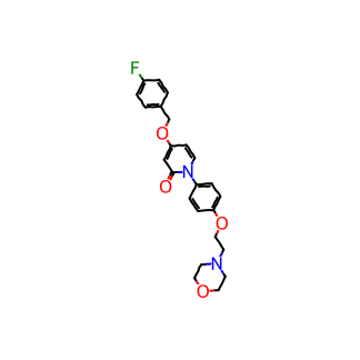 O=c1cc(OCc2ccc(F)cc2)ccn1-c1ccc(OCCN2CCOCC2)cc1